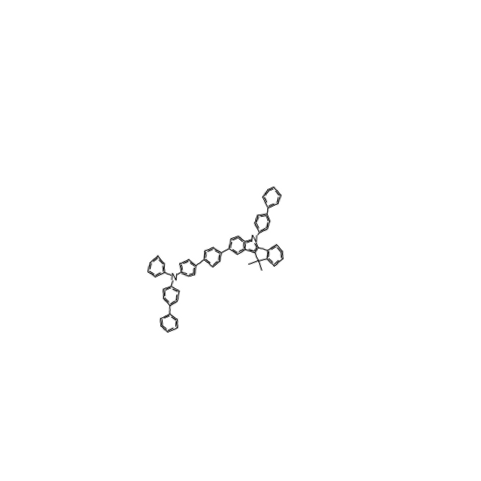 CC1(C)c2ccccc2-c2c1c1cc(-c3ccc(-c4ccc(N(c5ccccc5)c5ccc(-c6ccccc6)cc5)cc4)cc3)ccc1n2-c1ccc(-c2ccccc2)cc1